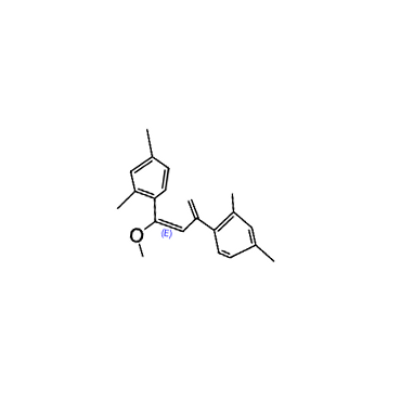 C=C(/C=C(/OC)c1ccc(C)cc1C)c1ccc(C)cc1C